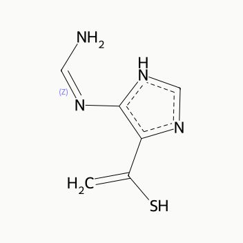 C=C(S)c1nc[nH]c1/N=C\N